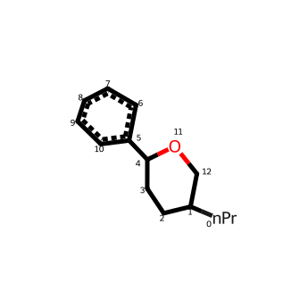 CCCC1CCC(c2ccccc2)OC1